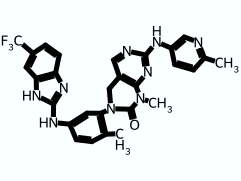 Cc1ccc(Nc2ncc3c(n2)N(C)C(=O)N(c2cc(Nc4nc5ccc(C(F)(F)F)cc5[nH]4)ccc2C)C3)cn1